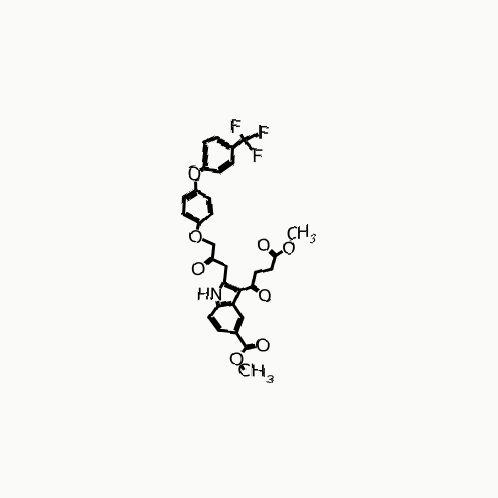 COC(=O)CCC(=O)c1c(CC(=O)COc2ccc(Oc3ccc(C(F)(F)F)cc3)cc2)[nH]c2ccc(C(=O)OC)cc12